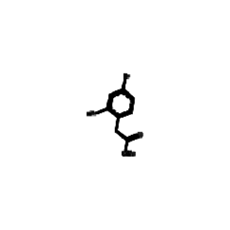 CCCc1cc(Br)ccc1CC(=O)OC